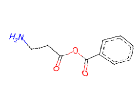 NCCC(=O)OC(=O)c1ccccc1